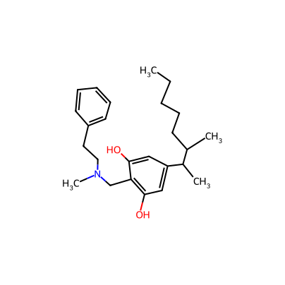 CCCCCC(C)C(C)c1cc(O)c(CN(C)CCc2ccccc2)c(O)c1